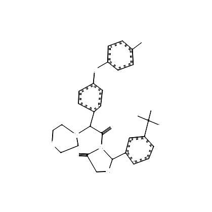 O=C1CNC(c2cccc(C(F)(F)F)c2)N1C(=O)C(c1ccc(Oc2ccc(Cl)cc2)cc1)N1CCOCC1